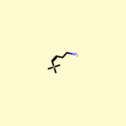 C[Si](C)(C)/C=C\CCN